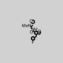 CN[C@H](CNC(=O)c1cc(Cc2cccc(F)c2)c2c(c1)OCC2)C[C@H]1CCCOC1